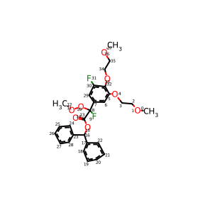 COCCOc1cc(C(F)(OOC)C(=O)OC(c2ccccc2)c2ccccc2)cc(F)c1OCCOC